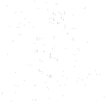 O=P(O)(O)[C@@](CO)(Cc1nn[nH]n1)OC[C@H]1O[C@@H](n2ncc3c(NCC4CCC4)nc(Cl)nc32)[C@H](O)[C@@H]1O